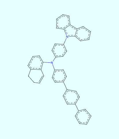 C1=Cc2c(cccc2N(c2ccc(-c3ccc(-c4ccccc4)cc3)cc2)c2ccc(-n3c4ccccc4c4ccccc43)cc2)CC1